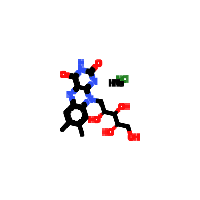 Cc1cc2nc3c(=O)[nH]c(=O)nc-3n(C[C@@H](O)[C@@H](O)[C@@H](O)CO)c2cc1C.Cl.[NaH]